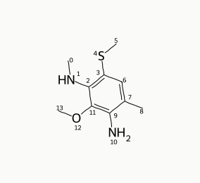 CNc1c(SC)cc(C)c(N)c1OC